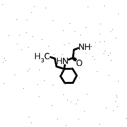 CCCC1(NC(=O)C[NH])CCCCC1